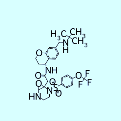 CC(C)(C)NCc1ccc2c(c1)OCC[C@H]2NC(=O)CC12OC1NCCN2S(=O)(=O)c1ccc(OC(F)(F)F)cc1